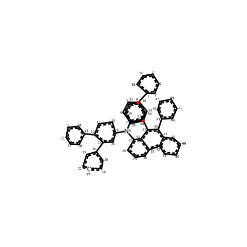 c1ccc(-c2ccc(N(c3ccc(-c4ccccc4)c(-c4ccccc4)c3)c3cccc4c3c(-c3ccccc3)c(-c3ccccc3)c3ccccc34)cc2)cc1